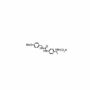 COc1ccc(CNC(=O)Nc2ccc(C(C)NC(=O)O)cc2)cc1